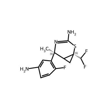 C[C@]1(c2cc(N)ccc2F)N=C(N)S[C@@]2(C(F)F)CC21